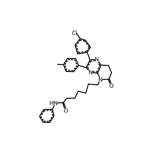 Cc1ccc(-c2nc3c(nc2-c2ccc(Cl)cc2)CCC(=O)N3CCCCCCC(=O)Nc2ccccc2)cc1